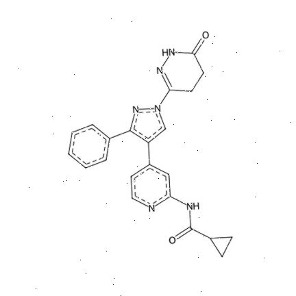 O=C1CCC(n2cc(-c3ccnc(NC(=O)C4CC4)c3)c(-c3ccccc3)n2)=NN1